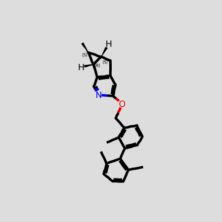 Cc1cccc(C)c1-c1cccc(COc2cc3c(cn2)[C@@H]2[C@@H](C)[C@@H]2C3)c1C